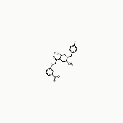 CC1CN(C(=O)COc2cccc([N+](=O)[O-])c2)C(C)CN1Cc1ccc(F)cc1